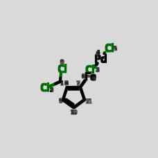 ClCCl.[Cl][Pd][Cl].[Fe][C]1=CC=CC1